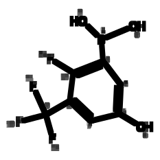 OB(O)c1cc(O)cc(C(F)(F)F)c1F